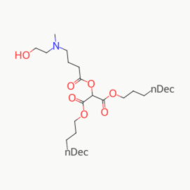 CCCCCCCCCCCCCOC(=O)C(OC(=O)CCCN(C)CCO)C(=O)OCCCCCCCCCCCCC